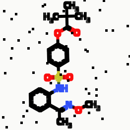 CON=C(C)c1ccccc1NS(=O)(=O)c1ccc(OC(=O)C(C)(C)C)cc1